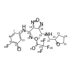 O=C(ON=C(Nc1ccc(F)c(Cl)c1)c1nonc1CNCC1CCCO1)C(F)(F)F